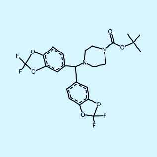 CC(C)(C)OC(=O)N1CCN(C(c2ccc3c(c2)OC(F)(F)O3)c2ccc3c(c2)OC(F)(F)O3)CC1